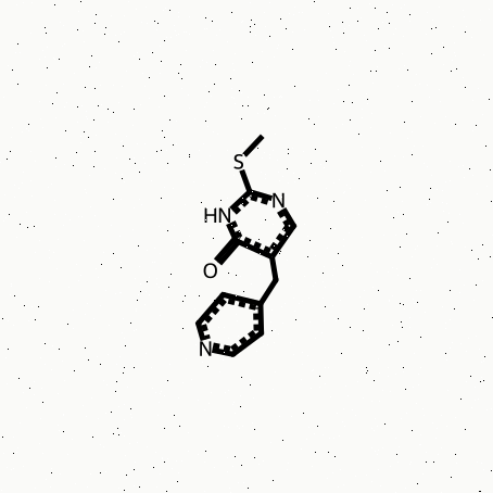 CSc1ncc(Cc2ccncc2)c(=O)[nH]1